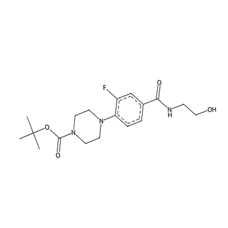 CC(C)(C)OC(=O)N1CCN(c2ccc(C(=O)NCCO)cc2F)CC1